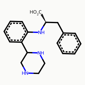 O=C(O)[C@@H](Cc1ccccc1)Nc1ccccc1C1CNCCN1